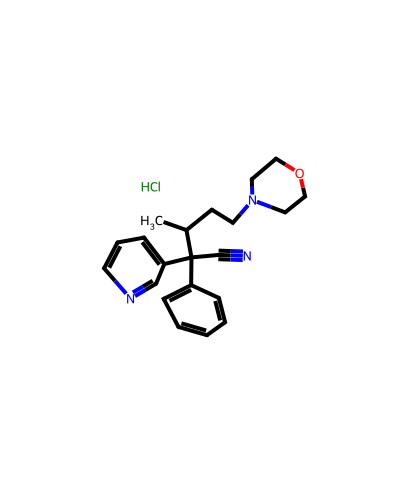 CC(CCN1CCOCC1)C(C#N)(c1ccccc1)c1cccnc1.Cl